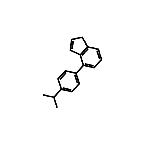 CC(C)c1ccc(-c2cccc3c2C=C[CH]3)cc1